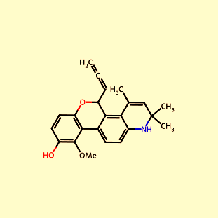 C=C=CC1Oc2ccc(O)c(OC)c2-c2ccc3c(c21)C(C)=CC(C)(C)N3